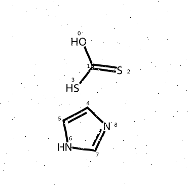 OC(=S)S.c1c[nH]cn1